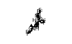 O=C(CC1CC(F)(F)C1)N[C@@H](c1cnn2cc([C@@H](NC(=O)c3cnn(CCC(F)(F)F)n3)C3CCC(F)(F)CC3)nc2c1)C1CC1